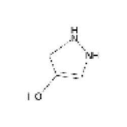 OC1=CNNC1